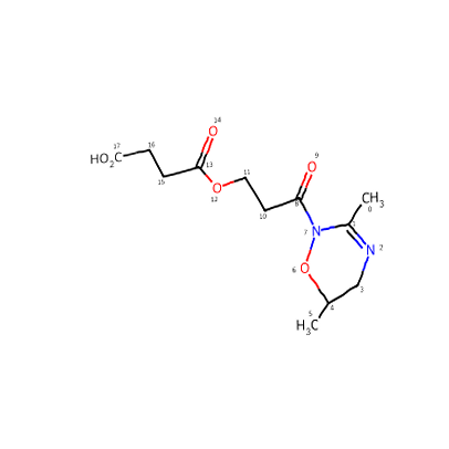 CC1=NCC(C)ON1C(=O)CCOC(=O)CCC(=O)O